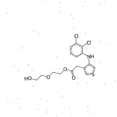 O=C(Cc1cscc1Nc1cccc(Cl)c1Cl)OCCOCCO